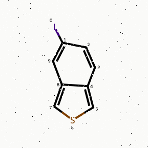 Ic1ccc2cscc2c1